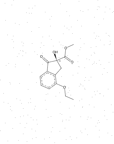 CCOc1cccc2c1C[C@@](O)(C(=O)OC)C2=O